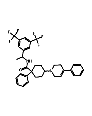 CC(NC(=O)C1(c2ccccc2)CCC(N2CC=C(c3ccccc3)CC2)CC1)c1cc(C(F)(F)F)cc(C(F)(F)F)c1